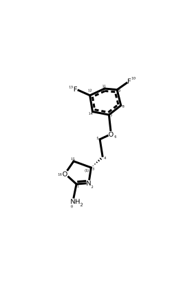 NC1=N[C@@H](CCOc2cc(F)cc(F)c2)CO1